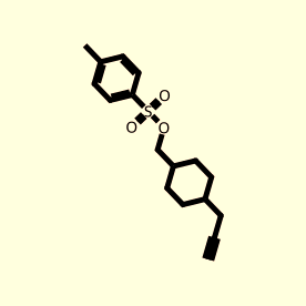 C#CCC1CCC(COS(=O)(=O)c2ccc(C)cc2)CC1